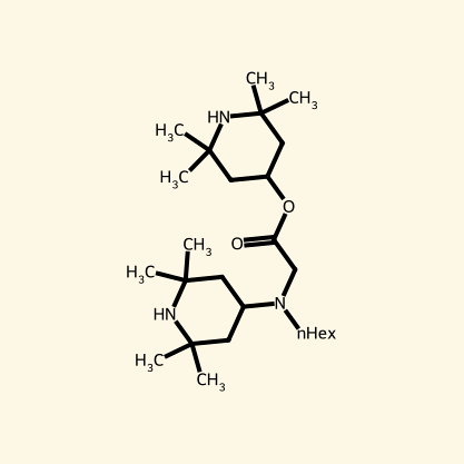 CCCCCCN(CC(=O)OC1CC(C)(C)NC(C)(C)C1)C1CC(C)(C)NC(C)(C)C1